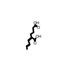 CC=CC=C(CCCC(=O)O)C(=O)O